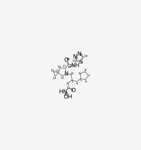 O=C(CC(CC1CCCC1)CN1CC2(CC2)CC1C(=O)Nc1nncs1)NO